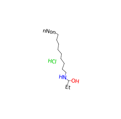 CCCCCCCCCCCCCCCCCCNC(O)CC.Cl